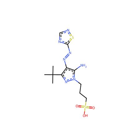 CC(C)(C)c1nn(CCCS(=O)(=O)O)c(N)c1N=Nc1ncns1